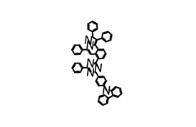 c1ccc(-c2nc(-c3ccc(-n4c5ccccc5c5ccccc54)cc3)nc(-c3cccc4c3cc(-c3ccccc3)n3nc(-c5ccccc5)c(-c5ccccc5)c43)n2)cc1